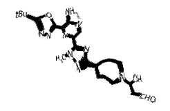 Cn1nc(C2CCN(C(O)CC=O)CC2)nc1-c1cnc(N)c(-c2nnc(C(C)(C)C)o2)n1